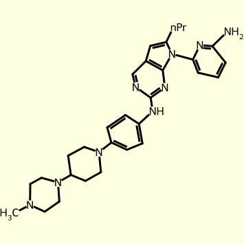 CCCc1cc2cnc(Nc3ccc(N4CCC(N5CCN(C)CC5)CC4)cc3)nc2n1-c1cccc(N)n1